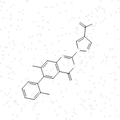 Cc1ccccc1-c1cc2c(=O)[nH]c(-n3cc(C(=O)O)cn3)nc2cc1Cl